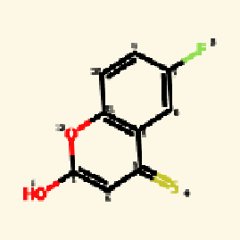 Oc1cc(=S)c2cc(F)ccc2o1